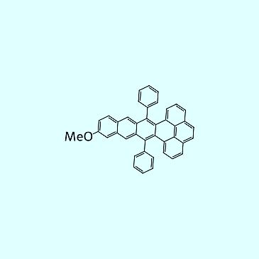 COc1ccc2cc3c(-c4ccccc4)c4c5cccc6ccc7cccc(c4c(-c4ccccc4)c3cc2c1)c7c65